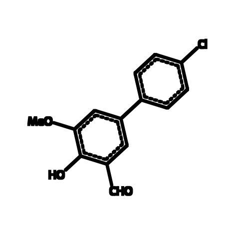 COc1cc(-c2ccc(Cl)cc2)cc(C=O)c1O